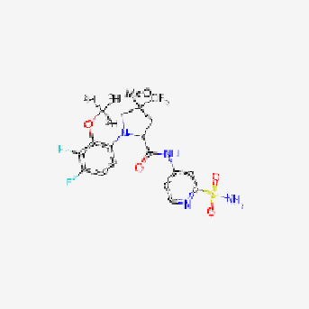 [2H]C([2H])([2H])Oc1c(N2CC(OC)(C(F)(F)F)CC2C(=O)Nc2ccnc(S(N)(=O)=O)c2)ccc(F)c1F